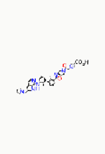 Cc1c(Nc2nccc3cc(CN4CCCC4)cnc23)cccc1-c1cccc(-c2nc3c(o2)CN(C(=O)CN2CC(C(=O)O)C2)C3)c1C